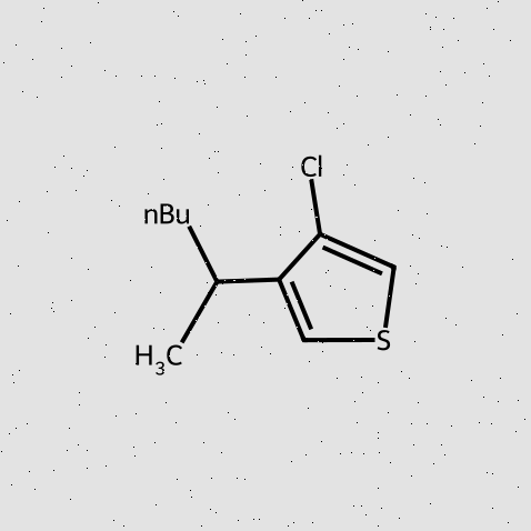 CCCCC(C)c1cscc1Cl